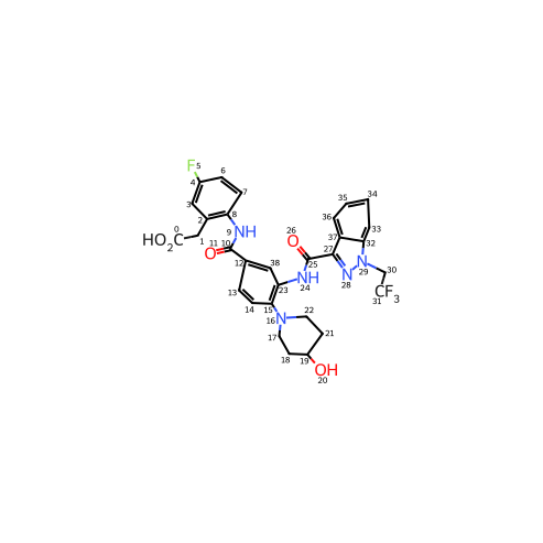 O=C(O)Cc1cc(F)ccc1NC(=O)c1ccc(N2CCC(O)CC2)c(NC(=O)c2nn(CC(F)(F)F)c3ccccc23)c1